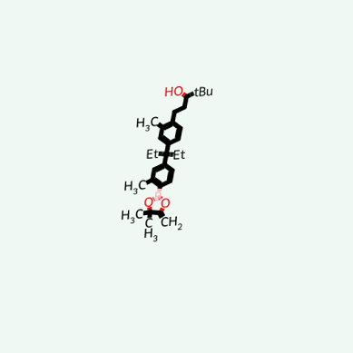 C=C1OB(c2ccc(C(CC)(CC)c3ccc(CCC(O)C(C)(C)C)c(C)c3)cc2C)OC1(C)C